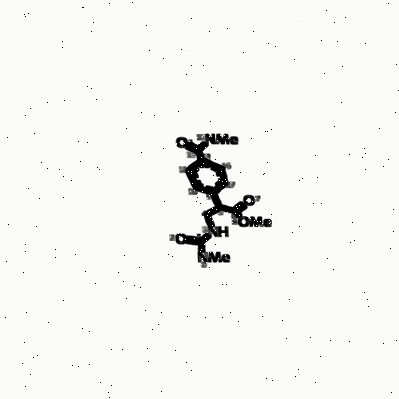 CNC(=O)NCC(C(=O)OC)c1ccc(C(=O)NC)cc1